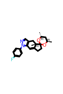 C[C@@H]1C[C@@H](C)OC2(CCC3=Cc4c(cnn4-c4ccc(F)cc4)C[C@@]32C)O1